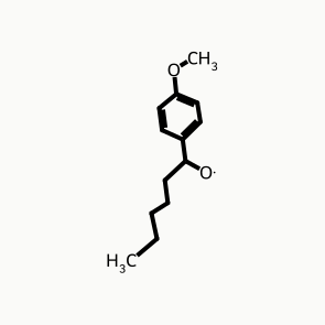 CCCCCC([O])c1ccc(OC)cc1